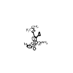 CC(C)CC1CC(c2onc(C(CCO[Si](c3ccccc3)(c3ccccc3)C(C)(C)C)CC(N)=O)c2C2CC2)C1